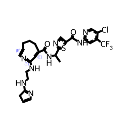 CC(NC(=O)/C1=C/C(NCCNC2=NC=CC2)=N\C=C\CCC1)c1ncc(C(=O)Nc2cc(C(F)(F)F)c(Cl)cn2)s1